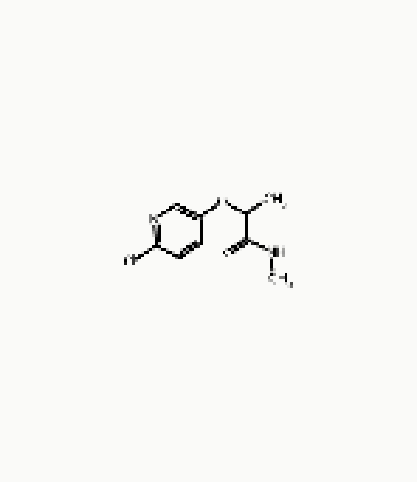 CNC(=S)C(C)Oc1ccc(Cl)nc1